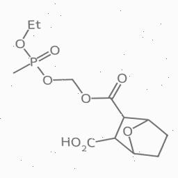 CCOP(C)(=O)OCOC(=O)C1C2CCC(O2)C1C(=O)O